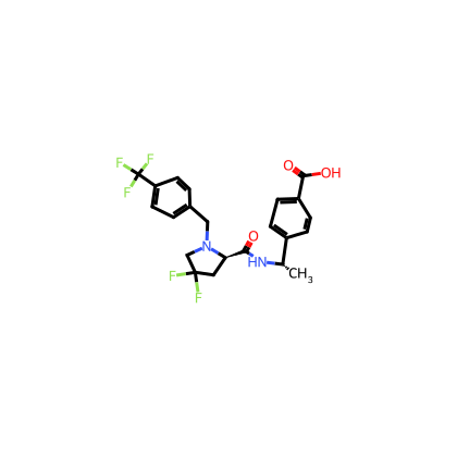 C[C@H](NC(=O)[C@H]1CC(F)(F)CN1Cc1ccc(C(F)(F)F)cc1)c1ccc(C(=O)O)cc1